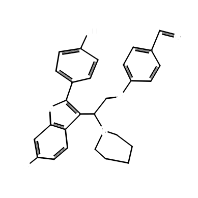 O=Cc1ccc(OCC(c2c(-c3ccc(O)cc3)sc3cc(O)ccc23)N2CCCCC2)cc1